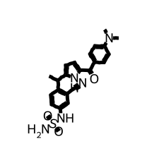 CC(c1ccc(C(=O)c2ccc(N(C)C)cc2)[nH]1)c1ccc(NS(N)(=O)=O)cc1C#N